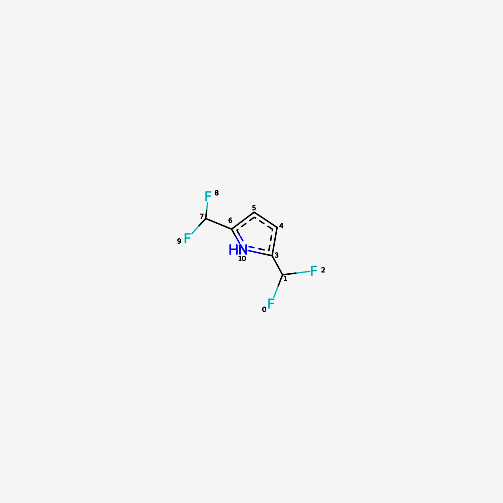 FC(F)c1ccc(C(F)F)[nH]1